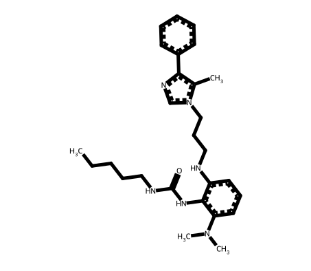 CCCCCNC(=O)Nc1c(NCCCn2cnc(-c3ccccc3)c2C)cccc1N(C)C